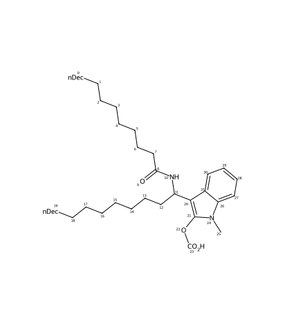 CCCCCCCCCCCCCCCCCC(=O)NC(CCCCCCCCCCCCCCCCC)c1c(OC(=O)O)n(C)c2ccccc12